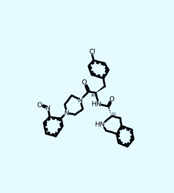 O=Nc1ccccc1N1CCN(C(=O)[C@@H](Cc2ccc(Cl)cc2)NC(=O)[C@@H]2Cc3ccccc3CN2)CC1